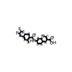 Cc1cc(/C=C(/F)C(F)F)ccc1C(=O)Nc1ccc2cc(C(=O)O)cnc2c1